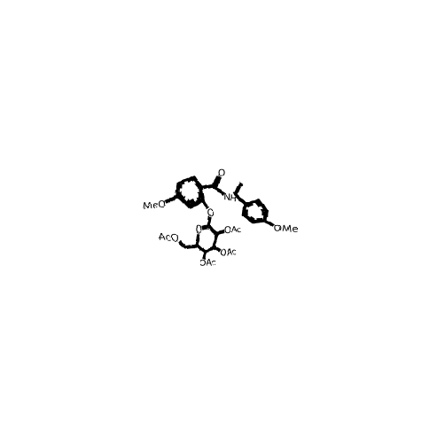 COc1ccc(C(C)NC(=O)c2ccc(OC)cc2OC2OC(COC(C)=O)C(OC(C)=O)C(OC(C)=O)C2OC(C)=O)cc1